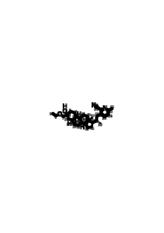 CCOC[C@@]1(O)CC[C@H]2[C@H](CC[C@@H]3[C@@H]2CC[C@]2(C)[C@@H]([C@@H](C)Cc4ccc(C)nc4C#N)CC[C@@H]32)C1